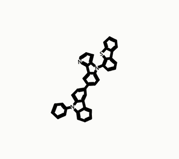 c1ccc(-n2c3ccccc3c3cc(-c4ccc5c(c4)c4ncccc4n5-c4cccc5c4sc4ccccc45)ccc32)cc1